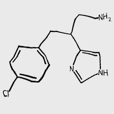 NCC(Cc1ccc(Cl)cc1)c1c[nH]cn1